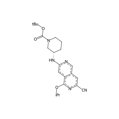 CC(C)Oc1nc(C#N)cc2cnc(N[C@H]3CCCN(C(=O)OC(C)(C)C)C3)cc12